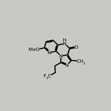 COc1ccc2[nH]c(=O)c3c(C)nc(CCC(F)(F)F)n3c2n1